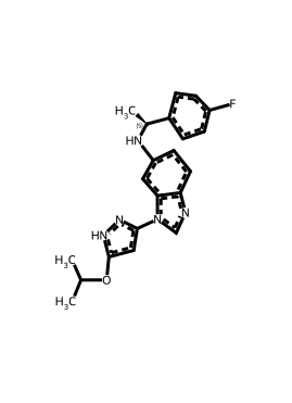 CC(C)Oc1cc(-n2cnc3ccc(N[C@@H](C)c4ccc(F)cc4)cc32)n[nH]1